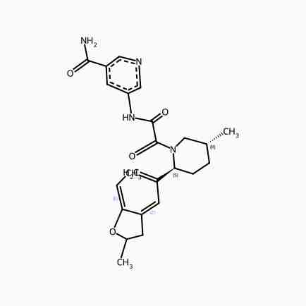 C=C(/C=C1/CC(C)O/C1=C/C)[C@@H]1CC[C@@H](C)CN1C(=O)C(=O)Nc1cncc(C(N)=O)c1